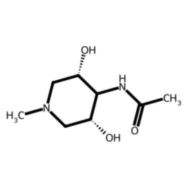 CC(=O)NC1[C@H](O)CN(C)C[C@@H]1O